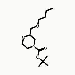 CCCCOCC1CN(C(=O)OC(C)(C)C)CCO1